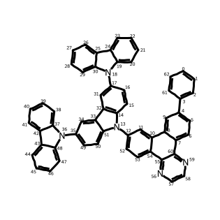 c1ccc(-c2ccc3c(c2)c2cc(-n4c5ccc(-n6c7ccccc7c7ccccc76)cc5c5cc(-n6c7ccccc7c7ccccc76)ccc54)ccc2c2nccnc32)cc1